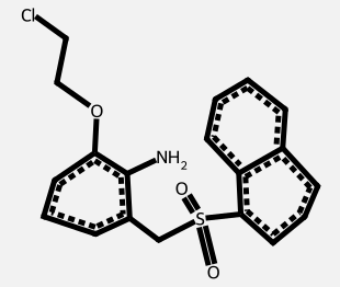 Nc1c(CS(=O)(=O)c2cccc3ccccc23)cccc1OCCCl